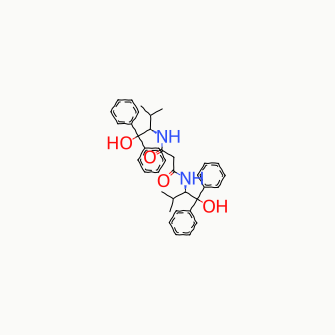 CC(C)[C@@H](NC(=O)CC(=O)N[C@H](C(C)C)C(O)(c1ccccc1)c1ccccc1)C(O)(c1ccccc1)c1ccccc1